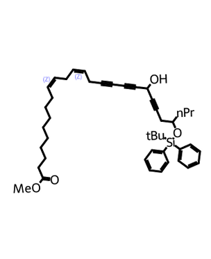 CCCC(CC#CC(O)C#CC#CC/C=C\C/C=C\CCCCCCCCC(=O)OC)O[Si](c1ccccc1)(c1ccccc1)C(C)(C)C